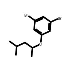 CC(C)CC(C)Oc1cc(Br)cc(Br)c1